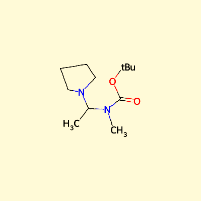 CC(N1CCCC1)N(C)C(=O)OC(C)(C)C